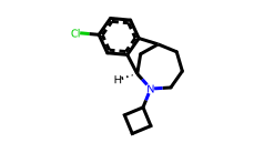 Clc1ccc2c(c1)[C@H]1CC2CCCN1C1CCC1